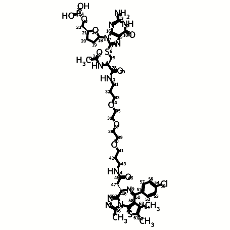 CC(=O)N[C@@H](CSc1nc2c(=O)[nH]c(N)nc2n1C1CC[C@@H](COP(O)O)O1)C(=O)NCCCOCCOCCOCCCNC(=O)C[C@@H]1N=C(c2ccc(Cl)cc2)c2c(sc(C)c2C)-n2c(C)nnc21